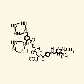 Cc1nc(O)c2nc(CNc3ccc(C(=O)NC(CCC(=O)NCCNC(=O)c4cc(CN5CCCNCCNCCCNCC5)ccc4CN4CCCNCCNCCCNCC4)C(=O)O)cc3)cnc2n1